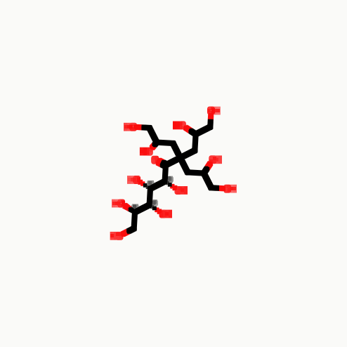 O=C([C@H](O)[C@@H](O)[C@H](O)[C@H](O)CO)C(CC(O)CO)(CC(O)CO)CC(O)CO